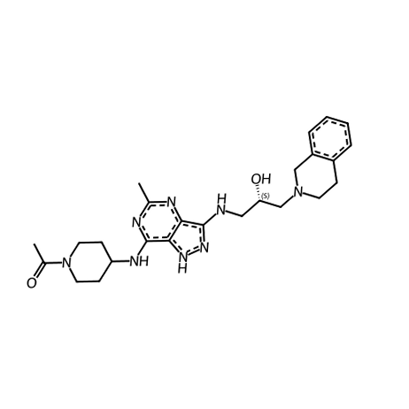 CC(=O)N1CCC(Nc2nc(C)nc3c(NC[C@H](O)CN4CCc5ccccc5C4)n[nH]c23)CC1